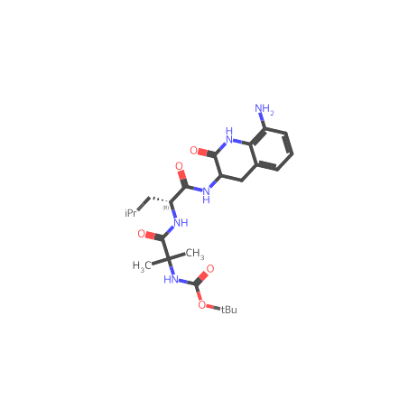 CC(C)C[C@@H](NC(=O)C(C)(C)NC(=O)OC(C)(C)C)C(=O)NC1Cc2cccc(N)c2NC1=O